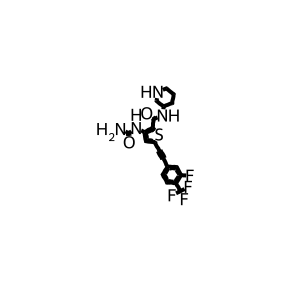 NC(=O)Nc1cc(C#Cc2ccc(C(F)(F)F)c(F)c2)sc1C(=O)NC1CCCNC1